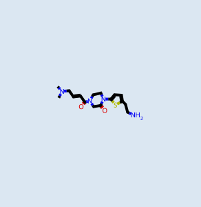 CN(C)CC=CC(=O)N1CCN(c2ccc(CCN)s2)C(=O)C1